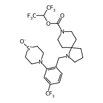 O=C(OC(C(F)(F)F)C(F)(F)F)N1CCC2(CCCN2Cc2ccc(C(F)(F)F)cc2N2CC[S+]([O-])CC2)CC1